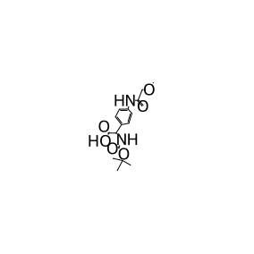 COCC(=O)Nc1ccc([C@@H](NC(=O)OC(C)(C)C)C(=O)O)cc1